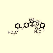 Cc1onc(-c2ccc(Sc3ccccc3CC(=O)O)cc2)c1NC(=O)O[C@H](C)c1ccccc1F